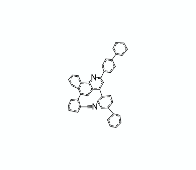 N#Cc1ccccc1-c1cc2c(-c3ccc(-c4ccccc4)cc3)cc(-c3ccc(-c4ccccc4)cc3)nc2c2ccccc12